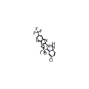 CCS(=O)(=O)/C(Nc1nc2cc(C(F)(F)F)cnc2n1C)=C1\C=C(Cl)C=CC1=N